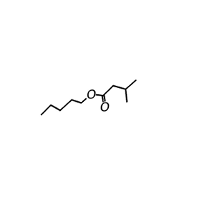 CCCCCOC(=O)CC(C)C